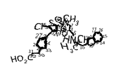 CN(C[C@H](O)CNC(C)(C)CC1Cc2ccccc2C1)S(=O)(=O)c1cc(-c2ccc(CCC(=O)O)cc2)c(Cl)s1